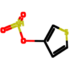 O=[SH](=O)Oc1ccsc1